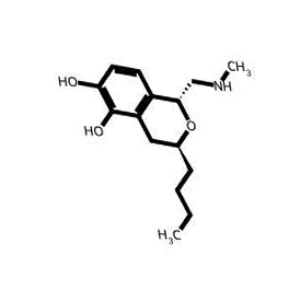 CCCC[C@H]1Cc2c(ccc(O)c2O)[C@H](CNC)O1